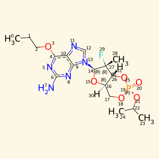 CCCOc1nc(N)nc2c1ncn2[C@@H]1O[C@@H]2CO[P@](=O)(OC(C)C)O[C@H]2[C@@]1(C)F